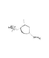 CC(=O)N[C@H]1C[C@@H](C)[C@@H](C(=O)O)C1